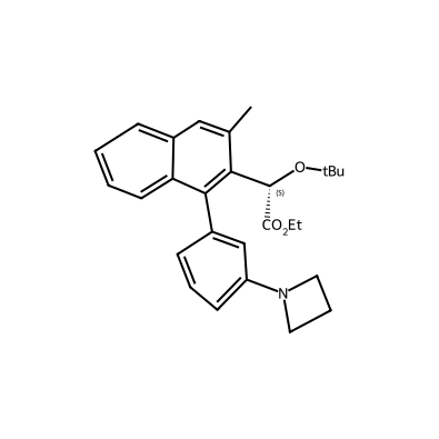 CCOC(=O)[C@@H](OC(C)(C)C)c1c(C)cc2ccccc2c1-c1cccc(N2CCC2)c1